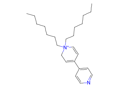 CCCCCCC[N+]1(CCCCCCC)C=CC(c2ccncc2)=CC1